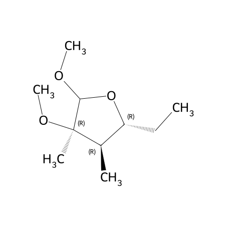 CC[C@H]1OC(OC)[C@](C)(OC)[C@@H]1C